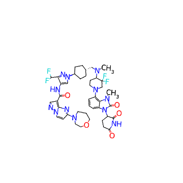 CN(C[C@H]1CC[C@H](n2cc(NC(=O)c3cnn4ccc(N5CCCOCC5)nc34)c(C(F)F)n2)CC1)C1CCN(c2cccc3c2n(C)c(=O)n3C2CCC(=O)NC2=O)CC1(F)F